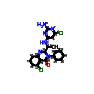 CC(Nc1cc(Cl)nc(N)n1)c1nc2cccc(Cl)c2c(=O)n1-c1ccccc1